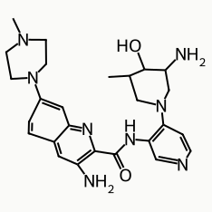 CC1CN(c2ccncc2NC(=O)c2nc3cc(N4CCN(C)CC4)ccc3cc2N)CC(N)C1O